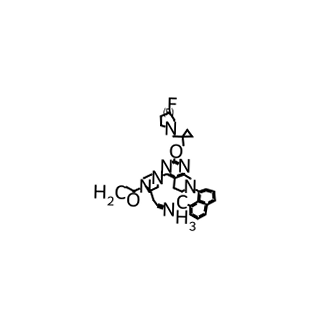 C=CC(=O)N1CCN(c2nc(OCC3(CN4CC[C@@H](F)C4)CC3)nc3c2CCN(c2cccc4cccc(C)c24)C3)CC1CC#N